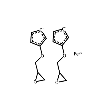 [Fe+2].c1cc(OCC2CO2)c[cH-]1.c1cc(OCC2CO2)c[cH-]1